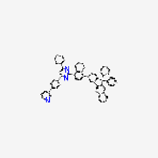 c1ccc(-c2cc(-c3ccc(-c4cccnc4)cc3)nc(-c3ccc(-c4ccc5c(c4)-c4cc6ccccc6cc4C5(c4ccccc4)c4ccccc4)c4ccccc34)n2)cc1